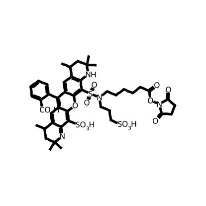 CC1CC(C)(C)Nc2c1cc1c(c2S(=O)(=O)N(CCCCCC(=O)ON2C(=O)CCC2=O)CCCS(=O)(=O)O)Oc2c(S(=O)(=O)O)c3c(cc2=C1c1ccccc1C(=O)O)C(C)CC(C)(C)N=3